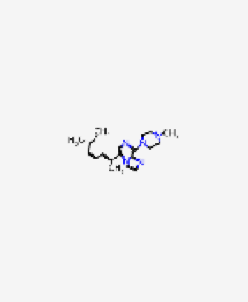 CC[C@@H](C)/C=C\C=C(/C)c1cnc(N2CCN(C)CC2)c2nccn12